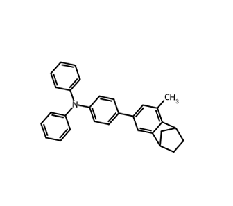 Cc1cc(-c2ccc(N(c3ccccc3)c3ccccc3)cc2)cc2c1C1CCC2C1